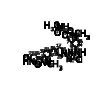 CNC(=O)COc1cc2cc(Nc3nc(N4CCC(Cc5ccc6c(C7CCC(=O)NC7=O)nn(C)c6c5)CC4)ncc3Cl)ccc2n(C)c1=O